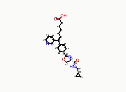 O=C(O)CCCCC=C(c1ccc(C2=N[C@H](C(=O)NCC3CC3)CO2)cc1)c1cccnc1